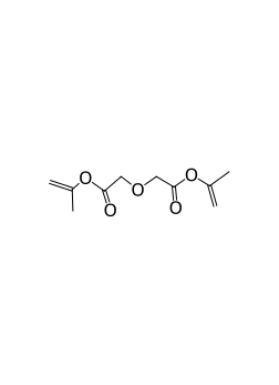 C=C(C)OC(=O)COCC(=O)OC(=C)C